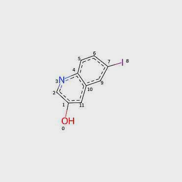 Oc1cnc2ccc(I)cc2c1